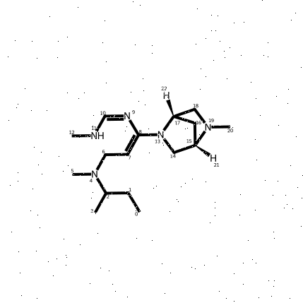 CCC(C)N(C)C/C=C(\N=C/NC)N1C[C@@H]2C[C@H]1CN2C